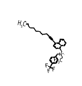 CCCCCCCCC#Cc1ccc(C[N+](CC)Cc2ccc(C(F)(F)F)cc2)c2ccccc12